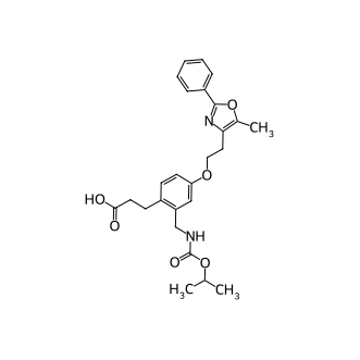 Cc1oc(-c2ccccc2)nc1CCOc1ccc(CCC(=O)O)c(CNC(=O)OC(C)C)c1